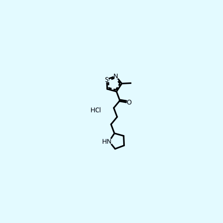 Cc1nscc1C(=O)CCCC1CCCN1.Cl